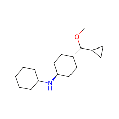 COC(C1CC1)[C@H]1CC[C@H](NC2CCCCC2)CC1